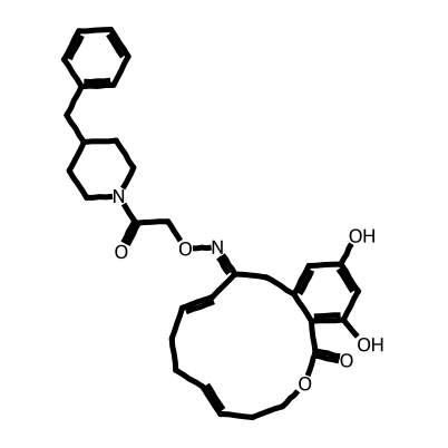 O=C1OCC/C=C/CC/C=C/C(=N\OCC(=O)N2CCC(Cc3ccccc3)CC2)Cc2cc(O)cc(O)c21